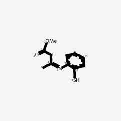 COC(=O)CC(C)=Nc1ccccc1S